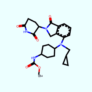 CC(C)(C)OC(=O)NC1CCC(N(CC2CC2)c2cccc3c2CN(C2CCC(=O)NC2=O)C3=O)CC1